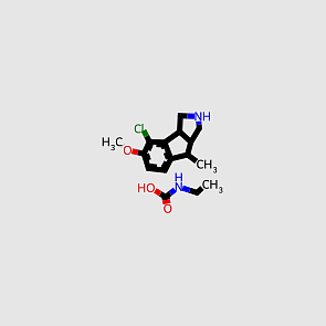 CCNC(=O)O.COc1ccc2c(c1Cl)C1CNCC1C2C